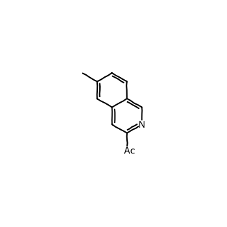 CC(=O)c1cc2cc(C)ccc2cn1